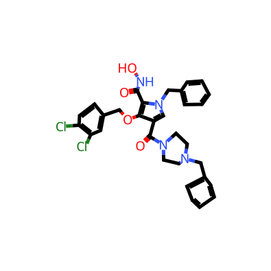 O=C(NO)c1c(OCc2ccc(Cl)c(Cl)c2)c(C(=O)N2CCN(Cc3ccccc3)CC2)cn1Cc1ccccc1